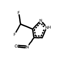 O=Nc1c[nH]nc1C(F)F